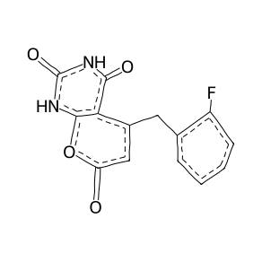 O=c1[nH]c(=O)c2c(Cc3ccccc3F)cc(=O)oc2[nH]1